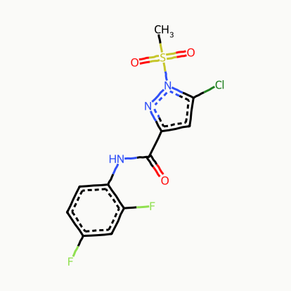 CS(=O)(=O)n1nc(C(=O)Nc2ccc(F)cc2F)cc1Cl